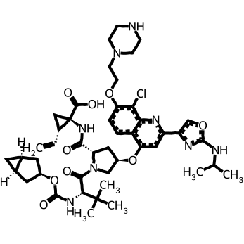 C=C[C@@H]1C[C@]1(NC(=O)[C@@H]1C[C@@H](Oc2cc(-c3coc(NC(C)C)n3)nc3c(Cl)c(OCCN4CCNCC4)ccc23)CN1C(=O)[C@@H](NC(=O)O[C@@H]1C[C@@H]2C[C@@H]2C1)C(C)(C)C)C(=O)O